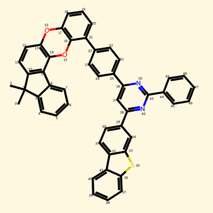 CC1(C)c2ccccc2-c2c1ccc1c2Oc2c(cccc2-c2ccc(-c3cc(-c4ccc5c(c4)sc4ccccc45)nc(-c4ccccc4)n3)cc2)O1